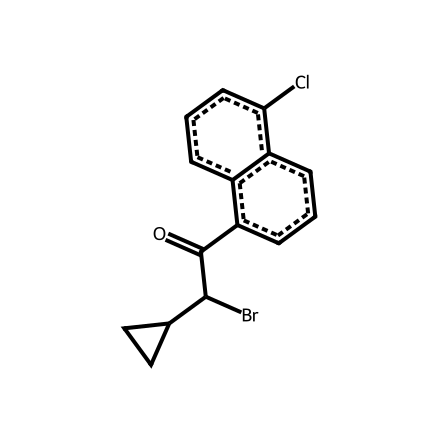 O=C(c1cccc2c(Cl)cccc12)C(Br)C1CC1